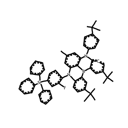 Cc1cc2c3c(c1)N(c1ccc([Si](c4ccccc4)(c4ccccc4)c4ccccc4)cc1F)c1ccc(C(C)(C)C)cc1B3c1cc(C(C)(C)C)ccc1N2c1ccc(C(C)(C)C)cc1